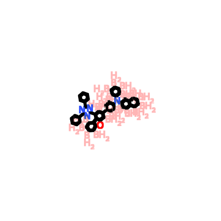 Bc1c(B)c(B)c(N(c2c(B)c(B)c(-c3c(B)c(-c4nc(-c5ccccc5)nc(-c5ccccc5)n4)c4c(oc5c(B)c(B)c(B)c(B)c54)c3B)c(B)c2B)c2c(B)c(B)c3c(B)c(B)c(B)c(B)c3c2B)c(B)c1B